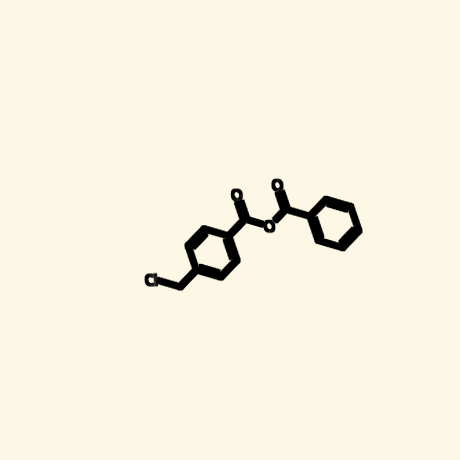 O=C(OC(=O)c1ccc(CCl)cc1)c1ccccc1